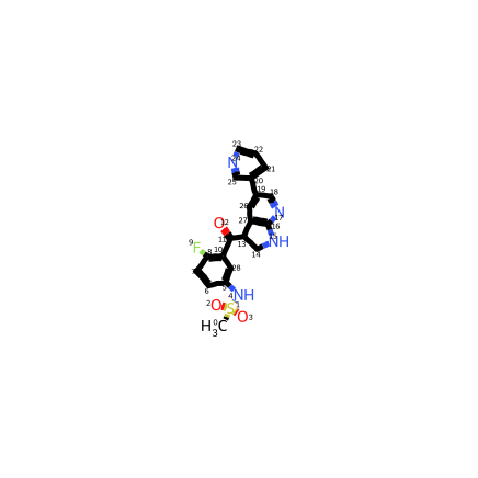 CS(=O)(=O)Nc1ccc(F)c(C(=O)C2CNc3ncc(-c4cccnc4)cc32)c1